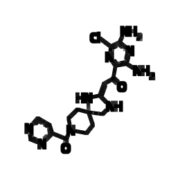 Nc1nc(N)c(C(=O)/C=C2\NCC3(CCN(C(=O)c4ccncn4)CC3)N2)nc1Cl